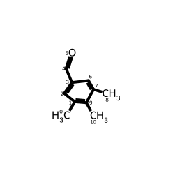 Cc1cc(C=O)cc(C)c1C